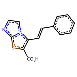 O=C(O)c1sc2nccn2c1C=Cc1ccccc1